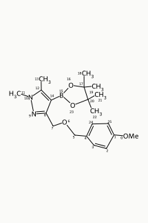 COc1ccc(COCc2nn(C)c(C)c2B2OC(C)(C)C(C)(C)O2)cc1